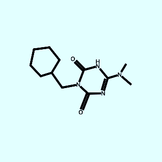 CN(C)c1nc(=O)n(CC2CCCCC2)c(=O)[nH]1